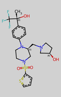 C[C@@](O)(c1ccc(N2CCN(S(=O)(=O)c3cccs3)C[C@@H]2CN2CC[C@@H](O)C2)cc1)C(F)(F)F